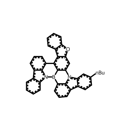 CCCCc1ccc2c3cccc4c3n(c2c1)-c1cc2oc3ccccc3c2c2c1B4n1c3ccccc3c3cccc-2c31